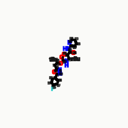 CCCC[C@H](NC(=O)O[C@H](Cc1nnc(-c2ccc(F)cc2)o1)C(C)(C)C)C(=O)C(=O)Nc1ccccn1